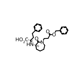 O=C(CCN1CCCC[C@H](N[C@@H](CCc2ccccc2)C(=O)O)C1=O)OCc1ccccc1